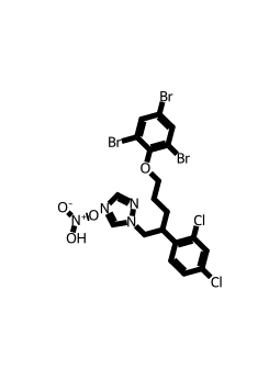 Clc1ccc(C(CCCOc2c(Br)cc(Br)cc2Br)Cn2cncn2)c(Cl)c1.O=[N+]([O-])O